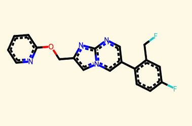 FCc1cc(F)ccc1-c1cnc2nc(COc3ccccn3)cn2c1